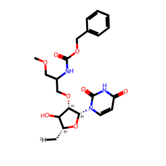 [2H]C[C@H]1O[C@@H](n2ccc(=O)[nH]c2=O)[C@@H](OCC(COC)NC(=O)OCc2ccccc2)C1O